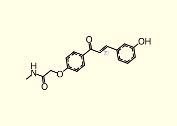 CNC(=O)COc1ccc(C(=O)/C=C/c2cccc(O)c2)cc1